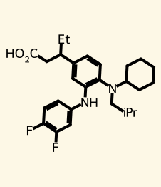 CCC(CC(=O)O)c1ccc(N(CC(C)C)C2CCCCC2)c(Nc2ccc(F)c(F)c2)c1